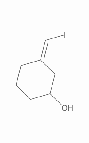 OC1CCCC(=CI)C1